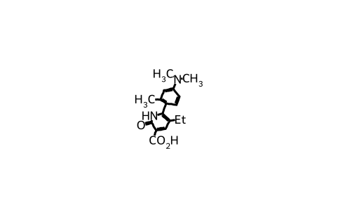 CCc1cc(C(=O)O)c(=O)[nH]c1-c1ccc(N(C)C)cc1C